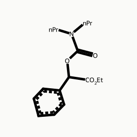 CCCN(CCC)C(=O)OC(C(=O)OCC)c1ccccc1